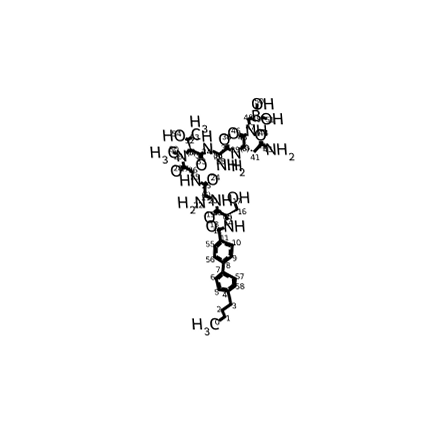 CCCCc1ccc(-c2ccc(C(=O)N[C@H](CO)C(=O)N[C@H](N)C(=O)NCC(=O)N(C)[C@H](C(=O)N[C@@H](N)C(=O)N[C@@H](CC(N)=O)C(=O)NCB(O)O)C(C)O)cc2)cc1